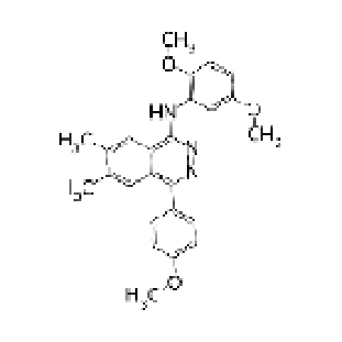 COc1ccc(-c2nnc(Nc3cc(OC)ccc3OC)c3cc(C)c(C)cc23)cc1